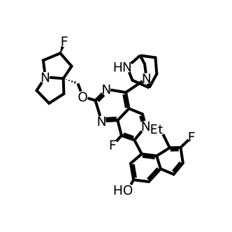 CCc1c(F)ccc2cc(O)cc(-c3ncc4c(N5CC6CCC5CN6)nc(OC[C@]56CCCN5C[C@@H](F)C6)nc4c3F)c12